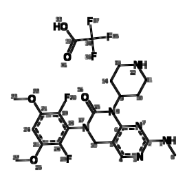 CNc1ncc2c(n1)N(C1CCNCC1)C(=O)N(c1c(F)c(OC)cc(OC)c1F)C2.O=C(O)C(F)(F)F